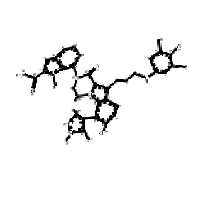 Cc1cc(OCCCc2c3n(c4c(-c5c(C)nn(C)c5C)c(Cl)ccc24)C(C)CN(c2cccc4cc(C(N)=O)n(C)c24)C3=O)cc(C)c1Cl